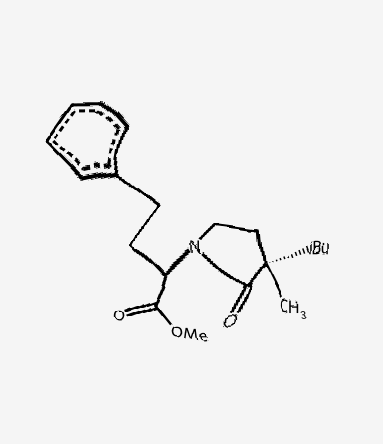 CCC(C)[C@@]1(C)CCN(C(CCc2ccccc2)C(=O)OC)C1=O